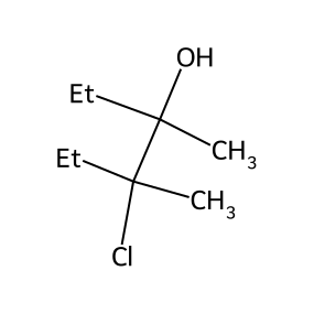 CCC(C)(O)C(C)(Cl)CC